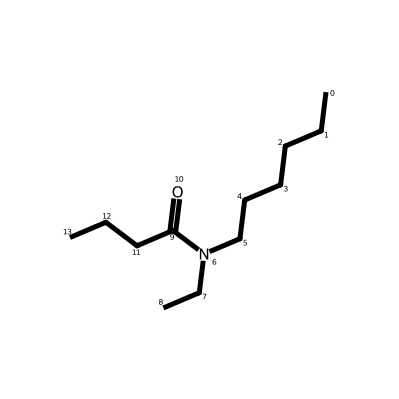 CCCCCCN(CC)C(=O)CCC